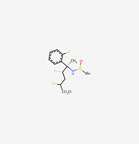 CCOC(=O)C(F)C[C@H](F)[C@](C)(N[S+]([O-])C(C)(C)C)c1ccccc1F